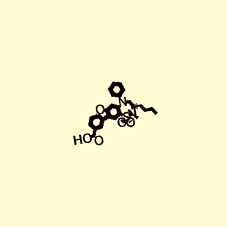 CCCC[C@@H]1CN(c2ccccc2)c2cc3oc4ccc(C(=O)O)cc4c3cc2S(=O)(=O)N1C